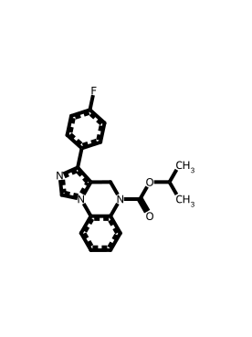 CC(C)OC(=O)N1Cc2c(-c3ccc(F)cc3)ncn2-c2ccccc21